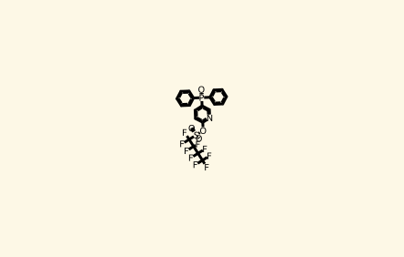 O=P(c1ccccc1)(c1ccccc1)c1ccc(OS(=O)(=O)C(F)(F)C(F)(F)C(F)(F)C(F)(F)F)nc1